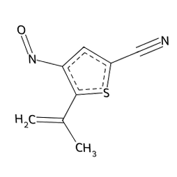 C=C(C)c1sc(C#N)cc1N=O